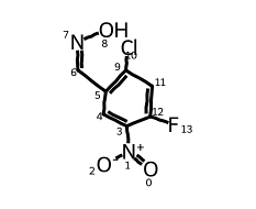 O=[N+]([O-])c1cc(/C=N\O)c(Cl)cc1F